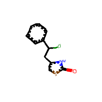 O=c1[nH]c(CC(Cl)c2ccccc2)cs1